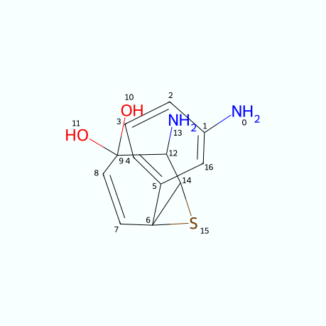 Nc1cccc(C23C=CC(O)(O)C(N)C2S3)c1